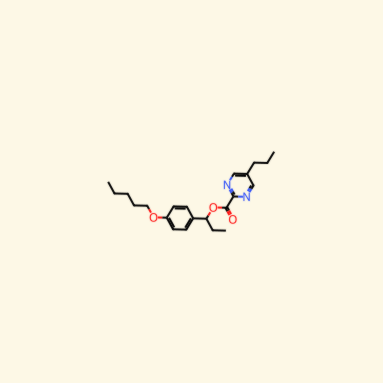 CCCCCOc1ccc(C(CC)OC(=O)c2ncc(CCC)cn2)cc1